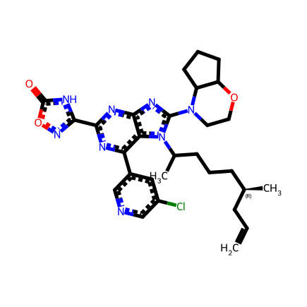 C=CC[C@H](C)CCCC(C)n1c(N2CCOC3CCCC32)nc2nc(-c3noc(=O)[nH]3)nc(-c3cncc(Cl)c3)c21